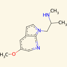 CNC(C)Cn1ccc2cc(OC)cnc21